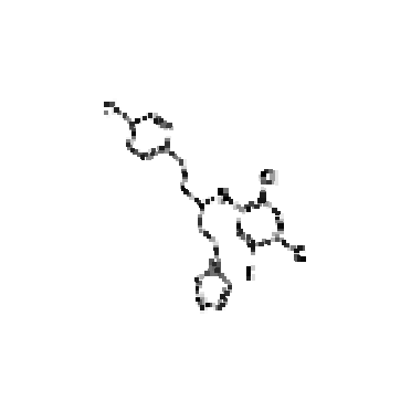 Clc1ccc(CCC(CCn2ccnc2)Sc2cc(Cl)c(Cl)cc2Cl)cc1